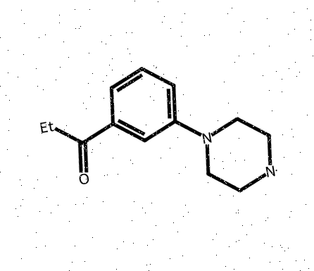 CCC(=O)c1cccc(N2CC[N]CC2)c1